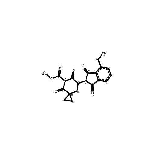 CC(C)(C)OC(=O)N1C(=O)C(N2C(=O)c3cccc(CO)c3C2=O)CC2(CC2)C1=O